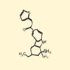 CCC1Cc2c([nH]c3ccc(C(=O)Cc4cccs4)cc23)C(N)(N)C1